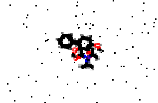 COC1=C(OC)C(OC)(C(=O)N(C(C)C)C(C)C)C(c2ccccc2)C=C1